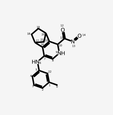 Cc1cccc(NC2=CNC(C(=O)N=O)C3=C2C2CCC3C2)c1